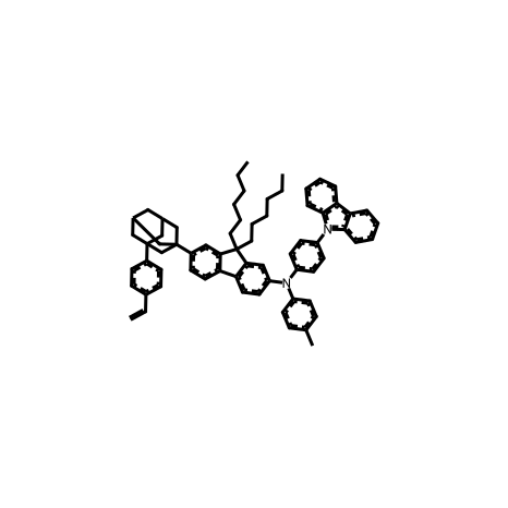 C=Cc1ccc(C23CC4CC(C2)CC(c2ccc5c(c2)C(CCCCCC)(CCCCCC)c2cc(N(c6ccc(C)cc6)c6ccc(-n7c8ccccc8c8ccccc87)cc6)ccc2-5)(C4)C3)cc1